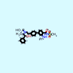 CC(C)Nc1cc(-c2ccc(CCN(C(=O)O)[C@@H](C)[C@H](O)c3ccccc3)cc2)ccc1C(=O)NS(C)(=O)=O